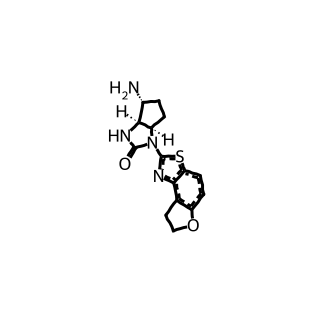 N[C@@H]1CC[C@@H]2[C@H]1NC(=O)N2c1nc2c3c(ccc2s1)OCC3